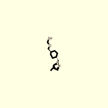 Cc1cnn(C[C@H]2CC[C@H](COCS)CC2)c1